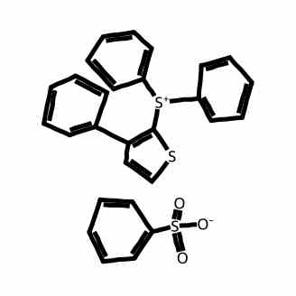 O=S(=O)([O-])c1ccccc1.c1ccc(-c2ccsc2[S+](c2ccccc2)c2ccccc2)cc1